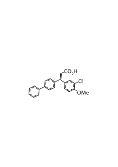 COc1ccc(/C(=C\C(=O)O)c2ccc(-c3ccccc3)cc2)cc1Cl